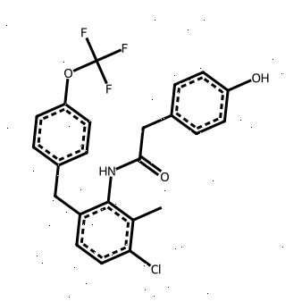 Cc1c(Cl)ccc(Cc2ccc(OC(F)(F)F)cc2)c1NC(=O)Cc1ccc(O)cc1